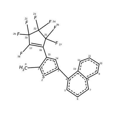 Cc1sc(-c2cccc3ccccc23)cc1C1=C(F)C(F)(F)C(F)(F)C1(F)F